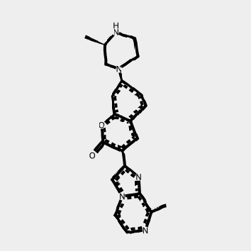 Cc1nccn2cc(-c3cc4ccc(N5CCN[C@H](C)C5)cc4oc3=O)nc12